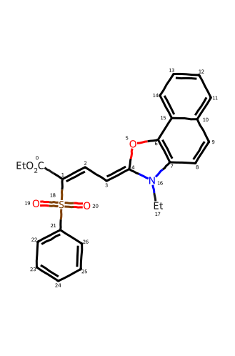 CCOC(=O)/C(=C/C=C1\Oc2c(ccc3ccccc23)N1CC)S(=O)(=O)c1ccccc1